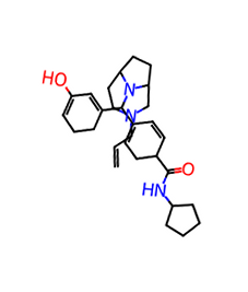 C=CCN1CCC2CCC(C1)N2C(C1=CCC(C(=O)NC2CCCC2)C=C1)C1=CC(O)=CCC1